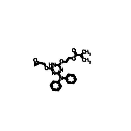 C=C(C)C(=O)OCCOC1N=C(N(c2ccccc2)c2ccccc2)N=C(OCC2CO2)N1